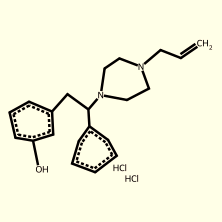 C=CCN1CCN(C(Cc2cccc(O)c2)c2ccccc2)CC1.Cl.Cl